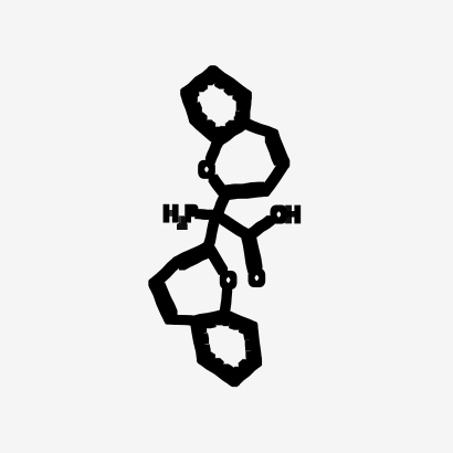 O=C(O)C(P)(C1=CC=Cc2ccccc2O1)C1=CC=Cc2ccccc2O1